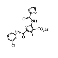 CCOC(=O)c1c(NC(=O)c2cccs2)sc(C(=O)Nc2cccc(Cl)c2)c1C